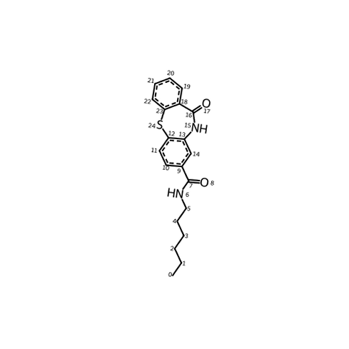 CCCCCCNC(=O)c1ccc2c(c1)NC(=O)c1ccccc1S2